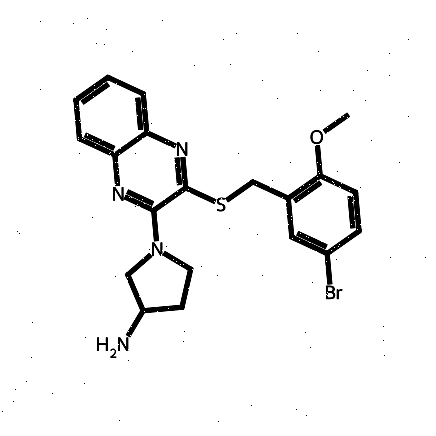 COc1ccc(Br)cc1CSc1nc2ccccc2nc1N1CCC(N)C1